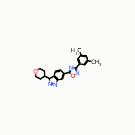 Cc1cc(C)cc(-c2noc(-c3ccc4c(c3)N=NC4C3CCOCC3)n2)c1